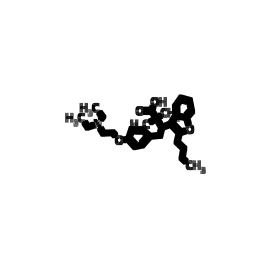 CCCCc1oc2ccccc2c1C(Cc1ccc(OCCN(CC)CC)cc1)C(C)(C)C(=O)O